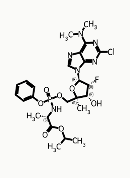 CC(C)OC(=O)[C@H](C)NP(=O)(OC[C@@]1(C)O[C@@H](n2cnc3c(N(C)C)nc(Cl)nc32)[C@H](F)[C@@H]1O)Oc1ccccc1